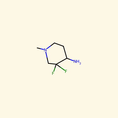 CN1CCC(N)C(F)(F)C1